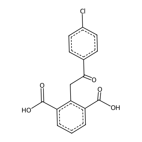 O=C(Cc1c(C(=O)O)cccc1C(=O)O)c1ccc(Cl)cc1